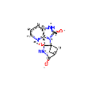 O=C1NC(=O)C2(n3c(=O)[nH]c4cccnc43)CC1C2